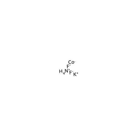 [Co].[F-].[F-].[K+].[NH4+]